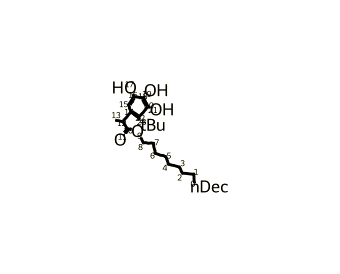 CCCCCCCCCCCCCCCCCCOC(=O)C(C)c1cc(O)c(O)c(O)c1C(C)(C)C